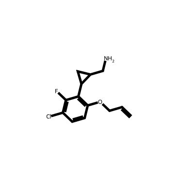 C=CCOc1ccc(Cl)c(F)c1C1CC1CN